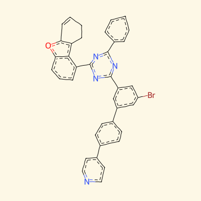 Brc1cc(-c2ccc(-c3ccncc3)cc2)cc(-c2nc(-c3ccccc3)nc(-c3cccc4oc5c(c34)CCC=C5)n2)c1